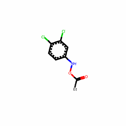 CCC(=O)ONc1ccc(Cl)c(Cl)c1